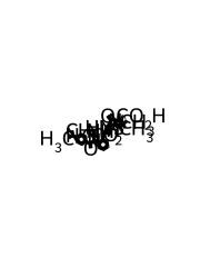 CN(C)c1ccc(C(=O)N(c2ccccc2CC(=O)NC2C(=O)N3[C@@H]2SC(C)(C)[C@@H]3C(=O)O)S(N)(=O)=O)cc1